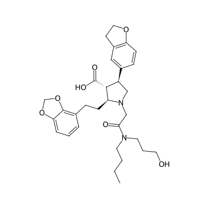 CCCCN(CCCO)C(=O)CN1C[C@H](c2ccc3c(c2)CCO3)[C@@H](C(=O)O)[C@@H]1CCc1cccc2c1OCO2